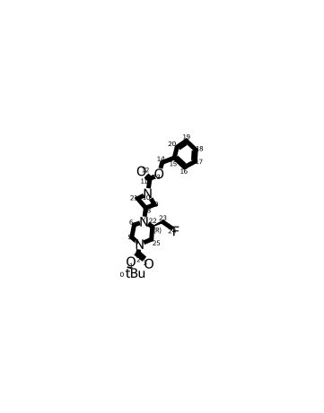 CC(C)(C)OC(=O)N1CCN(C2CN(C(=O)OCc3ccccc3)C2)[C@@H](CF)C1